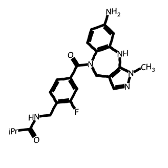 CC(C)C(=O)NCc1ccc(C(=O)N2Cc3cnn(C)c3Nc3cc(N)ccc32)cc1F